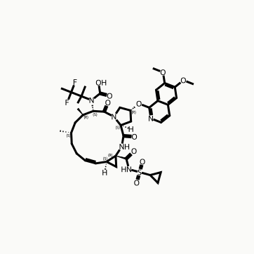 COc1cc2ccnc(O[C@@H]3C[C@H]4C(=O)N[C@]5(C(=O)NS(=O)(=O)C6CC6)C[C@H]5C=CCC[C@H](C)C[C@@H](C)[C@H](N(C(=O)O)C(C)(C)C(C)(F)F)C(=O)N4C3)c2cc1OC